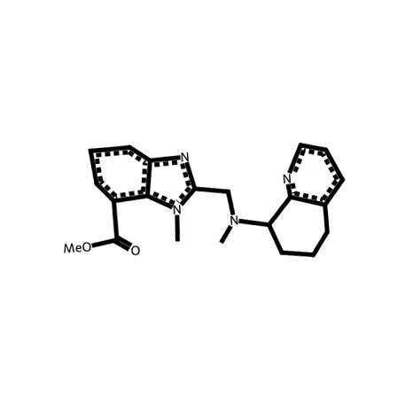 COC(=O)c1cccc2nc(CN(C)C3CCCc4cccnc43)n(C)c12